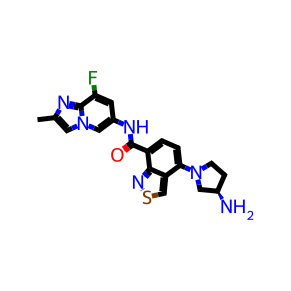 Cc1cn2cc(NC(=O)c3ccc(N4CC[C@@H](N)C4)c4csnc34)cc(F)c2n1